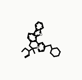 C=CC(CC)C1(C)Cc2ccc3c(oc4ccccc43)c2-c2cc(CC3CCCCC3)cc[n+]21